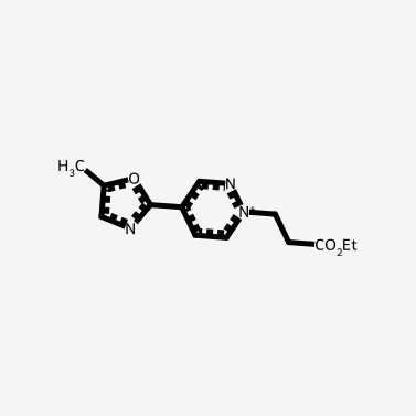 CCOC(=O)CC[n+]1ccc(-c2ncc(C)o2)cn1